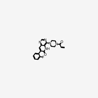 C=CC(=O)N1CCN(c2ncnc3cc(-c4ccccc4F)c(=O)[nH]c23)CC1